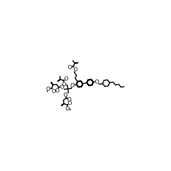 C=C(C)C(=O)OCCCc1cc(-c2ccc(OCC3CCC(CCCCC)CC3)cc2)ccc1OCC(COC(=O)CC(=C)C(=O)OC)(COC(=O)CC(=C)C(=O)OC)COC(=O)C(=C)C